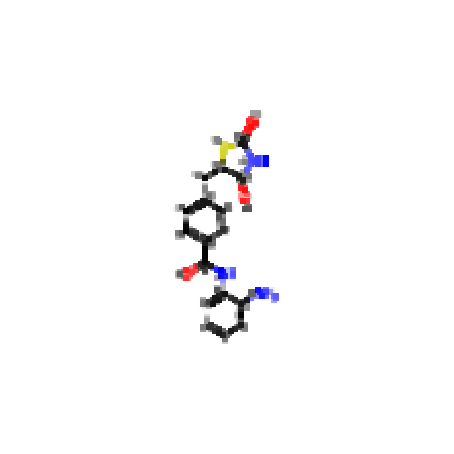 Nc1ccccc1NC(=O)c1ccc(CC2SC(=O)NC2=O)cc1